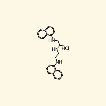 CC(CNc1cccc2ccccc12)NCCNc1cccc2ccccc12.Cl